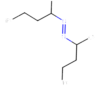 CC(C)CCC(C#N)N=NC(C#N)CCC(C)C